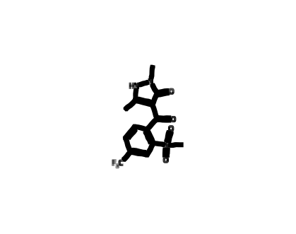 Cc1[nH]n(C)c(=O)c1C(=O)c1ccc(C(F)(F)F)cc1S(C)(=O)=O